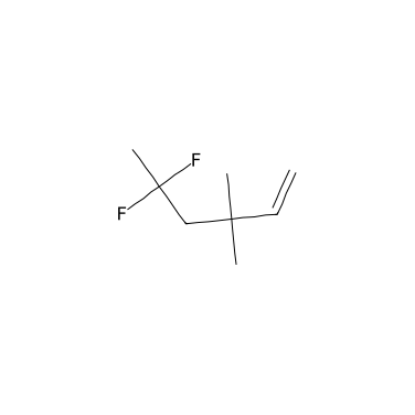 C=CC(C)(C)CC(C)(F)F